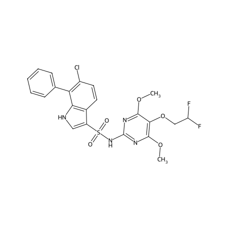 COc1nc(NS(=O)(=O)c2c[nH]c3c(-c4ccccc4)c(Cl)ccc23)nc(OC)c1OCC(F)F